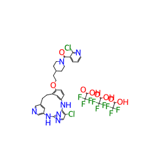 O=C(O)C(F)(F)F.O=C(O)C(F)(F)F.O=C(O)C(F)(F)F.O=C(c1cccnc1Cl)N1CCC(CCOc2ccc3cc2CCc2cncc(c2)Nc2ncc(Cl)c(n2)N3)CC1